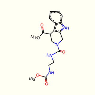 COC(=O)C1CN(C(=O)NCCNC(=O)OC(C)(C)C)Cc2[nH]c3ccccc3c21